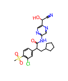 CS(=O)(=O)c1ccc(C(CC2CCCC2)C(=O)Nc2cnc(C(O)C#N)cn2)cc1Cl